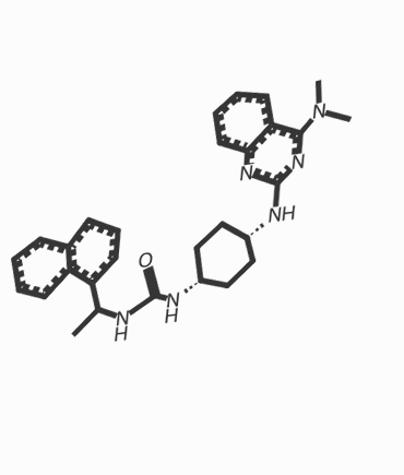 CC(NC(=O)N[C@H]1CC[C@@H](Nc2nc(N(C)C)c3ccccc3n2)CC1)c1cccc2ccccc12